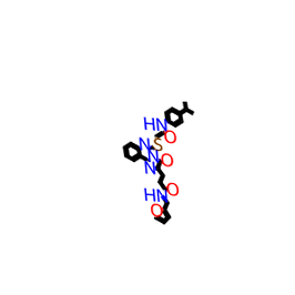 CC(C)c1ccc(NC(=O)CSC2=Nc3ccccc3C3=NC(CCC(=O)NCc4ccco4)C(=O)N23)cc1